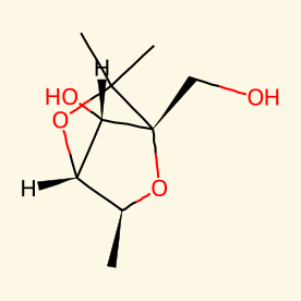 C[C@@H]1O[C@]2(CO)[C@@H](O)[C@H]1OC2(C)C